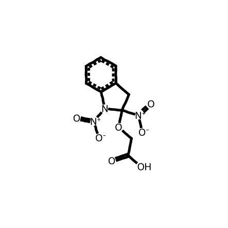 O=C(O)COC1([N+](=O)[O-])Cc2ccccc2N1[N+](=O)[O-]